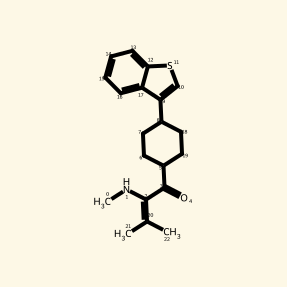 CNC(C(=O)C1CCC(c2csc3ccccc23)CC1)=C(C)C